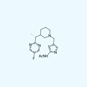 CC(=O)Nc1ncc(CN2CCCC([C@@H](C)c3ncc(F)cn3)C2)s1